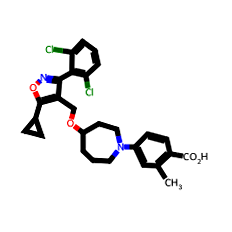 Cc1cc(N2CCCC(OCc3c(-c4c(Cl)cccc4Cl)noc3C3CC3)CC2)ccc1C(=O)O